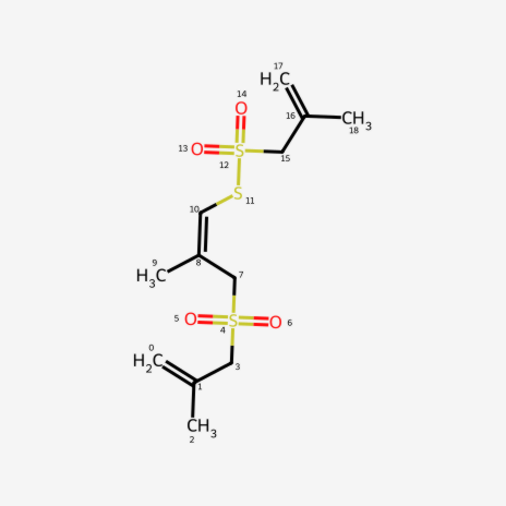 C=C(C)CS(=O)(=O)C/C(C)=C\SS(=O)(=O)CC(=C)C